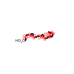 CC(O)C(=O)OC(=O)/C=C\C(=O)OC(=O)CC(=O)OC(=O)/C=C\C(=O)OC(=O)CCC(=O)OC(=O)/C=C\C(=O)OC(=O)CC(=O)OC(=O)/C=C\C(=O)O